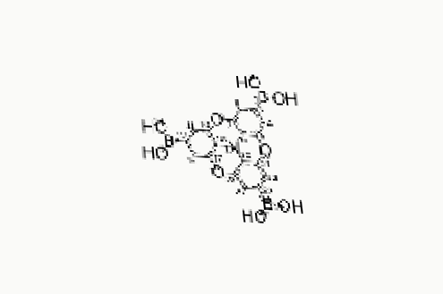 OB(O)c1cc2c3c(c1)Oc1cc(B(O)O)cc4c1N3c1c(cc(B(O)O)cc1O4)O2